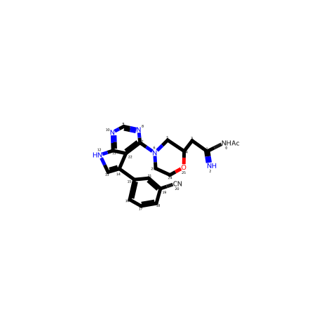 CC(=O)NC(=N)CC1CN(c2ncnc3[nH]cc(-c4cccc(C#N)c4)c23)CCO1